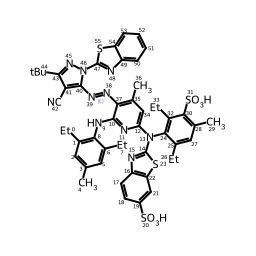 CCc1cc(C)cc(CC)c1Nc1nc(N(c2nc3ccc(S(=O)(=O)O)cc3s2)c2c(CC)cc(C)c(S(=O)(=O)O)c2CC)cc(C)c1/N=N/c1c(C#N)c(C(C)(C)C)nn1-c1nc2ccccc2s1